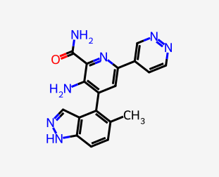 Cc1ccc2[nH]ncc2c1-c1cc(-c2ccnnc2)nc(C(N)=O)c1N